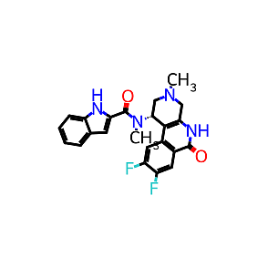 CN1Cc2[nH]c(=O)c3cc(F)c(F)cc3c2[C@H](N(C)C(=O)c2cc3ccccc3[nH]2)C1